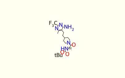 Cc1nc(C(F)(F)F)nc(N)c1CCC1CCN(C(=O)[C@H](C)NC(=O)OC(C)(C)C)CC1